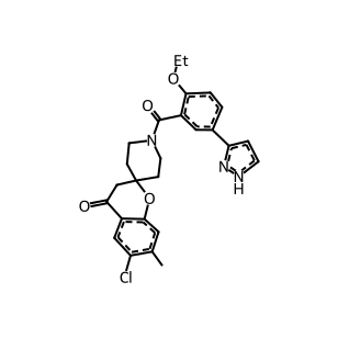 CCOc1ccc(-c2cc[nH]n2)cc1C(=O)N1CCC2(CC1)CC(=O)c1cc(Cl)c(C)cc1O2